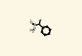 CC(c1ccccc1)[PH](=O)O